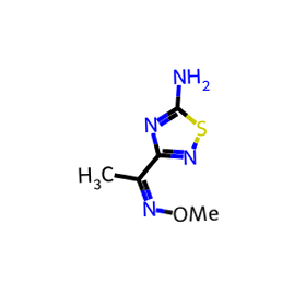 CO/N=C(/C)c1nsc(N)n1